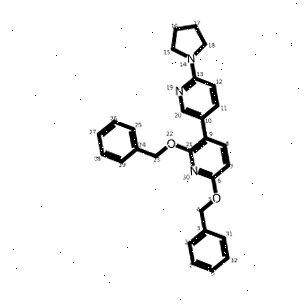 c1ccc(COc2ccc(-c3ccc(N4CCCC4)nc3)c(OCc3ccccc3)n2)cc1